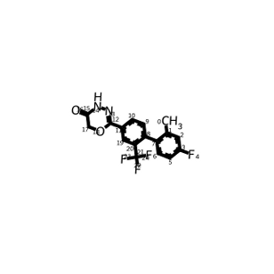 Cc1cc(F)ccc1-c1ccc(C2=NNC(=O)CO2)cc1C(F)(F)F